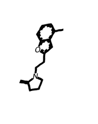 C=C1CCCN1CCc1cc2c(C)cccc2o1